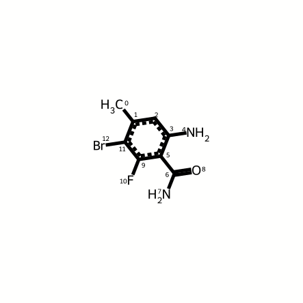 Cc1cc(N)c(C(N)=O)c(F)c1Br